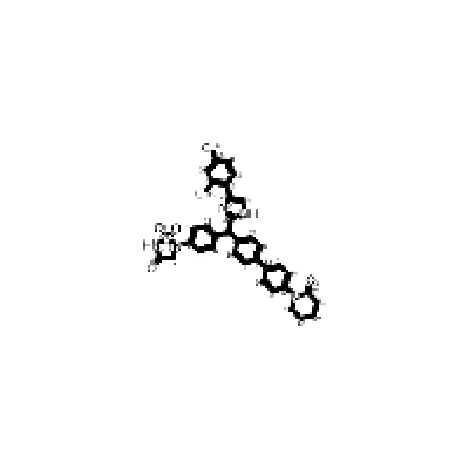 O=C1CN(c2ccc(C(c3ccc(-c4ccc(N5CCCCC5=O)cc4)cc3)c3nc(-c4ccc(Cl)cc4Cl)c[nH]3)cc2)S(=O)(=O)N1